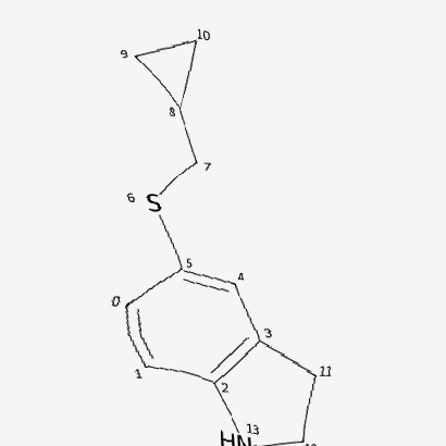 c1cc2c(cc1SCC1CC1)CCN2